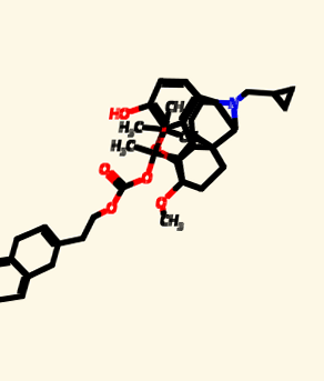 COC12CCC3(CC1C(C)(OC(=O)OCCC1=CCc4ccccc4C1)C(C)(C)C)C1Cc4ccc(O)c5c4C3(CCN1CC1CC1)C2O5